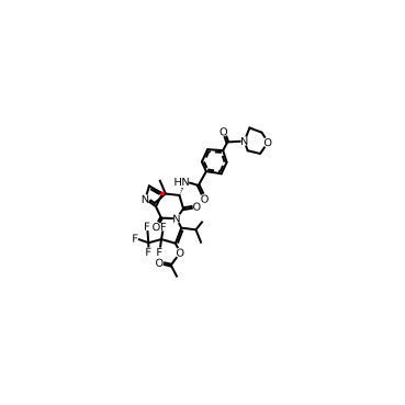 CC(=O)O/C(=C(\C(C)C)N(C(=O)C1=NC=C1)C(=O)[C@@H](NC(=O)c1ccc(C(=O)N2CCOCC2)cc1)C(C)C)C(F)(F)C(F)(F)F